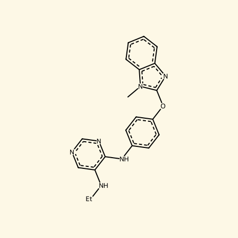 CCNc1cncnc1Nc1ccc(Oc2nc3ccccc3n2C)cc1